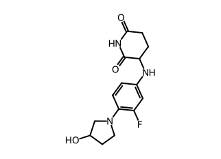 O=C1CCC(Nc2ccc(N3CCC(O)C3)c(F)c2)C(=O)N1